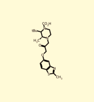 Cc1nc2cc(OCC(=O)CN3CCN(C(=O)O)C(C(C)(C)C)[C@@H]3C)ccc2s1